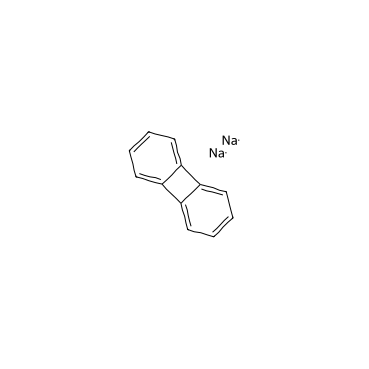 [Na].[Na].c1ccc2c(c1)-c1ccccc1-2